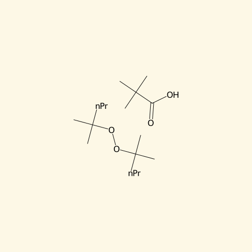 CC(C)(C)C(=O)O.CCCC(C)(C)OOC(C)(C)CCC